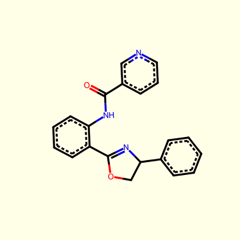 O=C(Nc1ccccc1C1=NC(c2ccccc2)CO1)c1cccnc1